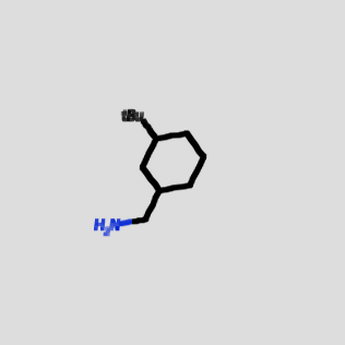 CC(C)(C)C1CCCC(CN)C1